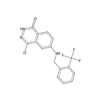 O=c1[nH]nc(Cl)c2cc(NCc3ccccc3C(F)(F)F)ccc12